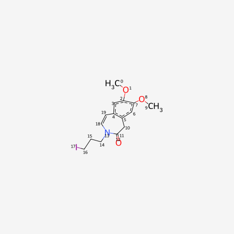 COc1cc2c(cc1OC)CC(=O)N(CCCI)C=C2